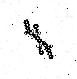 O=C1C(=Cc2cc3c(s2)c2c(n3C(=O)OCc3ccccc3)=CC3C=c4c(n(C(=O)OCc5ccccc5)c5cc(C=C6C(=O)c7cc8cc9ccccc9cc8cc7C6=O)sc45)=CC3C=2)C(=O)c2cc3cc4ccccc4cc3cc21